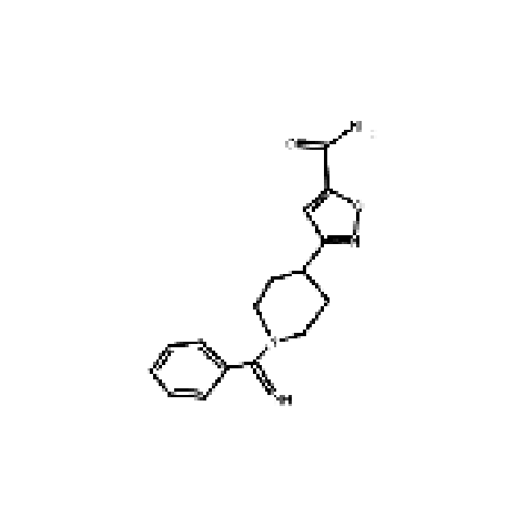 N=C(c1ccccc1)N1CCC(c2cc(C(N)=O)on2)CC1